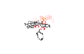 BP(B)O[C@@H](C=O)C(O[Si](C)(C)C(C)(C)C)[C@H](CC)OCc1ccccc1